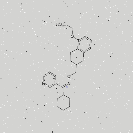 O=C(O)COc1cccc2c1CCC(CO/N=C(\c1cccnc1)C1CCCCC1)C2